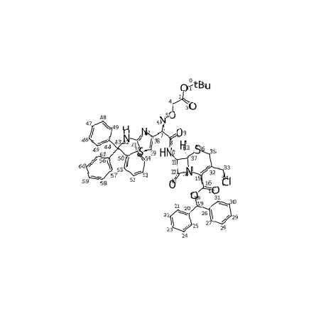 CC(C)(C)OC(=O)CO/N=C(\C(=O)NC1C(=O)N2C(C(=O)OC(c3ccccc3)c3ccccc3)=C(CCl)CS[C@H]12)c1csc(NC(c2ccccc2)(c2ccccc2)c2ccccc2)n1